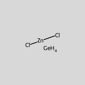 [Cl][Zn][Cl].[GeH4]